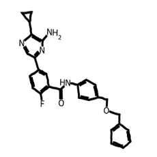 Nc1nc(-c2ccc(F)c(C(=O)Nc3ccc(COCc4ccccc4)cc3)c2)cnc1C1CC1